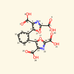 O=C(O)c1nc(C(=O)O)c(-c2ccccc2-c2oc(C(=O)O)nc2C(=O)O)o1